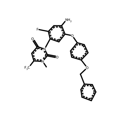 Cn1c(C(F)(F)F)cc(=O)n(-c2cc(Oc3ccc(OCc4ccccc4)cc3)c(N)cc2F)c1=O